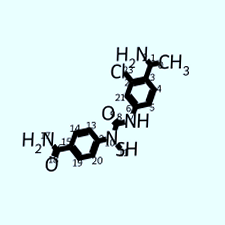 CC(N)c1ccc(NC(=O)N(S)c2ccc(C(N)=O)cc2)cc1Cl